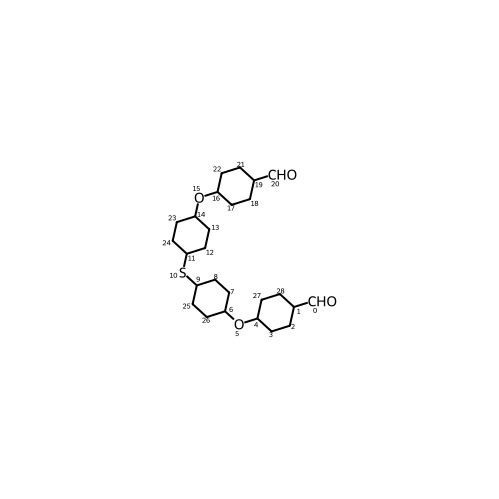 O=CC1CCC(OC2CCC(SC3CCC(OC4CCC(C=O)CC4)CC3)CC2)CC1